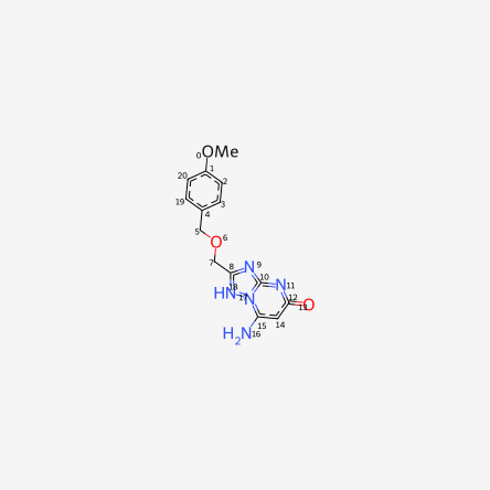 COc1ccc(COCc2nc3nc(=O)cc(N)n3[nH]2)cc1